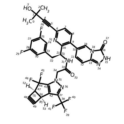 CC(C)(O)C#Cc1ccc(-c2ccc3n[nH]c(=O)n3c2)c([C@H](Cc2cc(F)cc(F)c2)NC(=O)Cn2nc(C(F)(F)F)c3c2C(F)(F)[C@@H]2C#C[C@H]32)n1